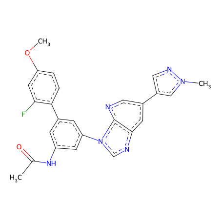 COc1ccc(-c2cc(NC(C)=O)cc(-n3cnc4cc(-c5cnn(C)c5)cnc43)c2)c(F)c1